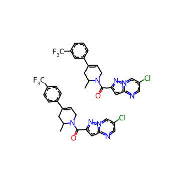 CC1CC(c2ccc(C(F)(F)F)cc2)=CCN1C(=O)c1cc2ncc(Cl)cn2n1.CC1CC(c2cccc(C(F)(F)F)c2)=CCN1C(=O)c1cc2ncc(Cl)cn2n1